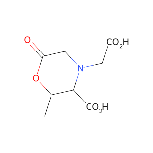 CC1OC(=O)CN(CC(=O)O)C1C(=O)O